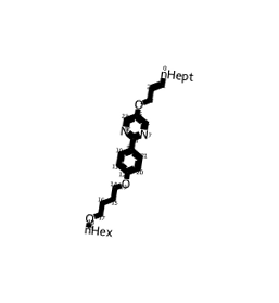 CCCCCCC/C=C/COc1cnc(-c2ccc(OCCCCOCCCCCC)cc2)nc1